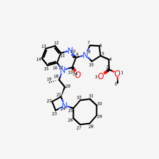 COC(=O)CC1CCN(c2nc3ccccc3n([C@@H](C)C[C@@H]3CCN3C3CCCCCCC3)c2=O)C1